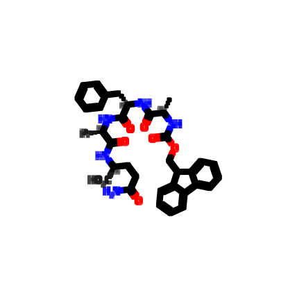 CC(C)[C@H](NC(=O)[C@H](Cc1ccccc1)NC(=O)[C@H](C)NC(=O)OCC1c2ccccc2-c2ccccc21)C(=O)N[C@@H](CCC(N)=O)C(=O)O